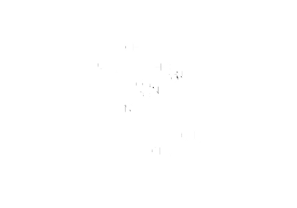 CCCCCCCCN(CCCCCCCC)CCC(=O)O.CCCCCCCCN(CCCCCCCC)CCC(=O)O.[Ni]